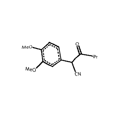 COc1ccc(C(C#N)C(=O)C(C)C)cc1OC